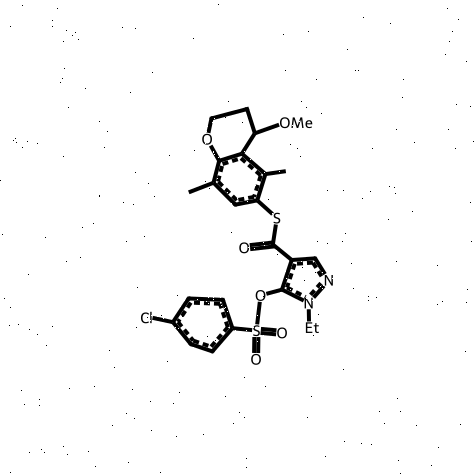 CCn1ncc(C(=O)Sc2cc(C)c3c(c2C)C(OC)CCO3)c1OS(=O)(=O)c1ccc(Cl)cc1